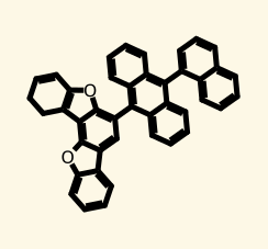 C1=Cc2oc3c(-c4c5ccccc5c(-c5cccc6ccccc56)c5ccccc45)cc4c5ccccc5oc4c3c2CC1